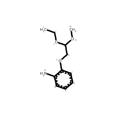 CCOC(COc1ccccc1N)OC